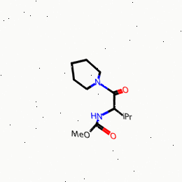 COC(=O)NC(C(=O)N1CCCCC1)C(C)C